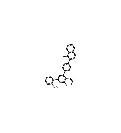 C/C=C\c1c(C)cc(-c2ccccc2N=O)cc1-c1ccc(-c2ccc3ccccc3c2C)cc1